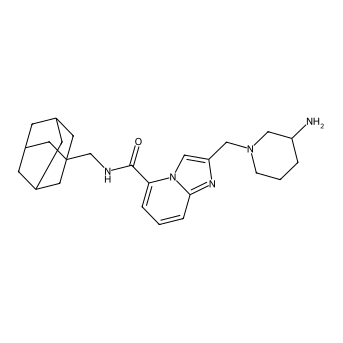 NC1CCCN(Cc2cn3c(C(=O)NCC45CC6CC(CC(C6)C4)C5)cccc3n2)C1